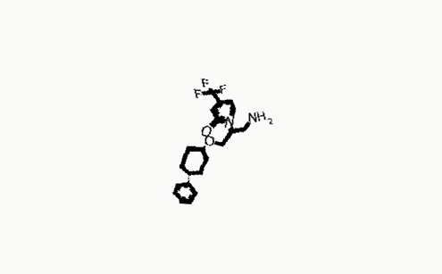 NCC(CO[C@H]1CC[C@@H](c2ccccc2)CC1)n1ccc(C(F)(F)F)cc1=O